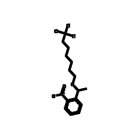 CC(OCCCCCC[Si](Cl)(Cl)Cl)c1ccccc1[N+](=O)[O-]